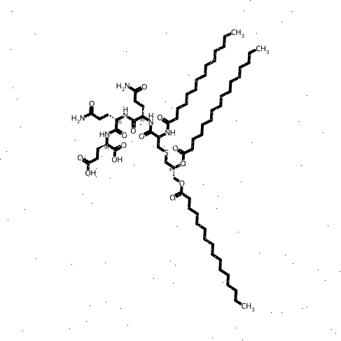 CCCCCCCCCCCCCCCC(=O)OC[C@H](CSCC(NC(=O)CCCCCCCCCCCCC)C(=O)N[C@H](CCC(N)=O)C(=O)N[C@@H](CCC(N)=O)C(=O)N[C@H](CCC(=O)O)C(=O)O)OC(=O)CCCCCCCCCCCCCCC